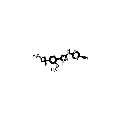 COc1cc(C2(F)CN(C)C2)ccc1-c1cc(Nc2cnc(C#N)cn2)n[nH]1